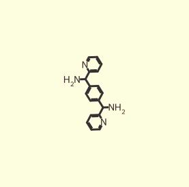 NC(c1ccc(C(N)c2ccccn2)cc1)c1ccccn1